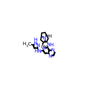 Cc1cc(Nc2cc3nccnc3c(N[C@@H]3CCC4CC[C@@H](C3)N4CCC#N)n2)n[nH]1